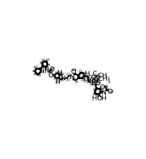 CC(C)(C)[Si](C)(C)O[C@@H](CNCCc1ccc2c(c1)CCN(CCN1C[C@H]3C[C@H](OC(=O)Nc4ccccc4-c4ccccc4)C[C@H]3C1)C2=O)c1ccc(O)c2c1OCC(=O)N2